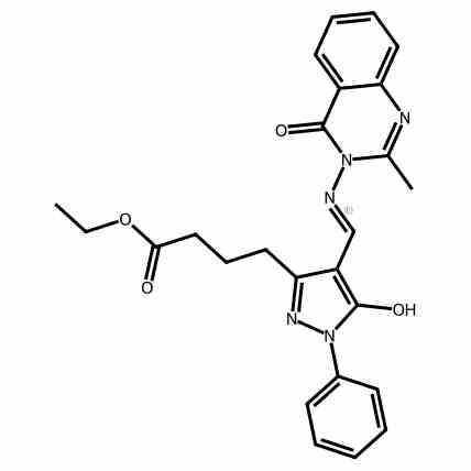 CCOC(=O)CCCc1nn(-c2ccccc2)c(O)c1/C=N/n1c(C)nc2ccccc2c1=O